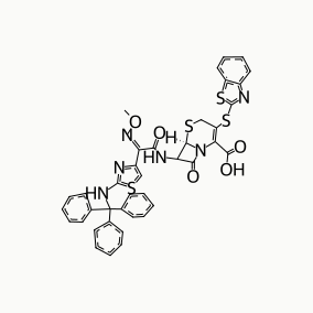 CO/N=C(\C(=O)NC1C(=O)N2C(C(=O)O)=C(Sc3nc4ccccc4s3)CS[C@H]12)c1csc(NC(c2ccccc2)(c2ccccc2)c2ccccc2)n1